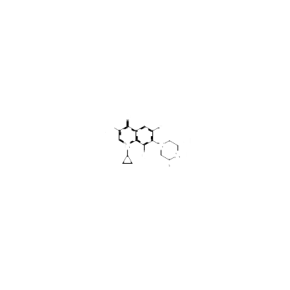 C[C@H]1CN(c2c(F)cc3c(=O)c(C(=O)O)cn(C4CC4)c3c2Cl)C[C@H](C)N1